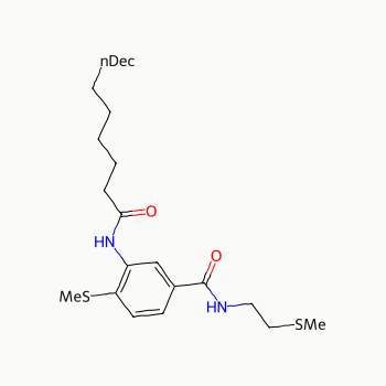 CCCCCCCCCCCCCCCC(=O)Nc1cc(C(=O)NCCSC)ccc1SC